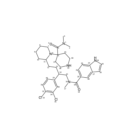 CN(C)C(=O)C1(N2CCCCC2CCC(CN(C)C(=O)c2ccc3[nH]ccc3c2)c2ccc(Cl)c(Cl)c2)CCNCC1